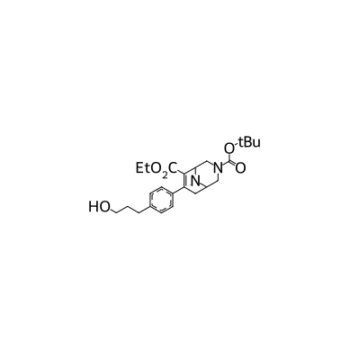 CCOC(=O)C1=C(c2ccc(CCCO)cc2)CC2CN(C(=O)OC(C)(C)C)CC1N2C